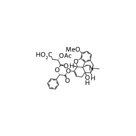 COc1ccc2c3c1O[C@H]1C(OC(=O)[C@@H](OC(=O)[C@H](CC(=O)O)OC(C)=O)c4ccccc4)=CC[C@@]4(O)[C@@H](C2)N(C)CC[C@]314